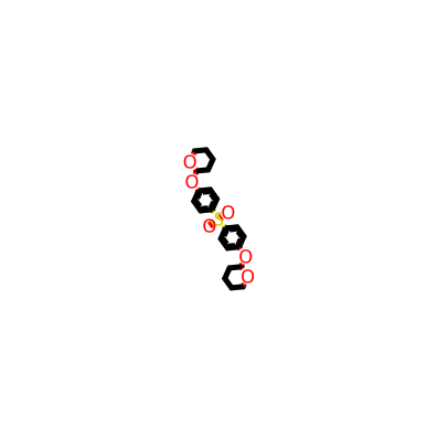 O=S(=O)(c1ccc(OC2CCCCO2)cc1)c1ccc(OC2CCCCO2)cc1